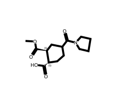 COC(=O)[C@H]1CC(C(=O)N2CCCC2)CC[C@@H]1C(=O)O